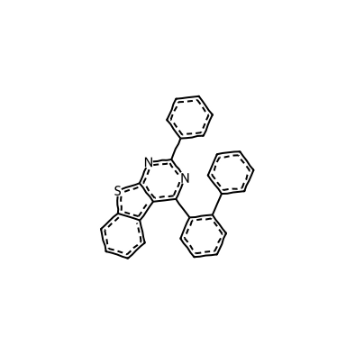 c1ccc(-c2nc(-c3ccccc3-c3ccccc3)c3c(n2)sc2ccccc23)cc1